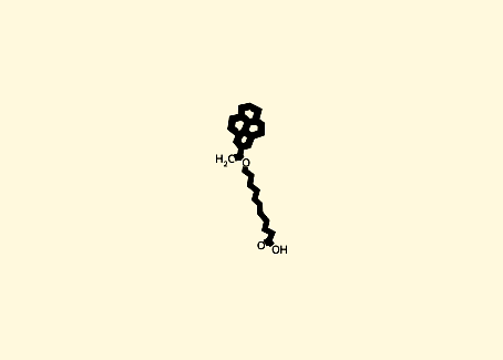 C=C(OCCCCCCCCCCC(=O)O)c1cc2ccc3cccc4ccc(c1)c2c34